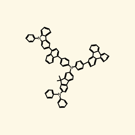 CC1(C)c2cc(N(c3ccccc3)c3ccccc3)ccc2-c2ccc(N(c3ccc(-c4ccc5c6ccccc6c6ccccc6c5c4)cc3)c3ccc(-c4ccc(-c5ccc6c(c5)c5ccccc5n6-c5ccccc5)c5ccccc45)cc3)cc21